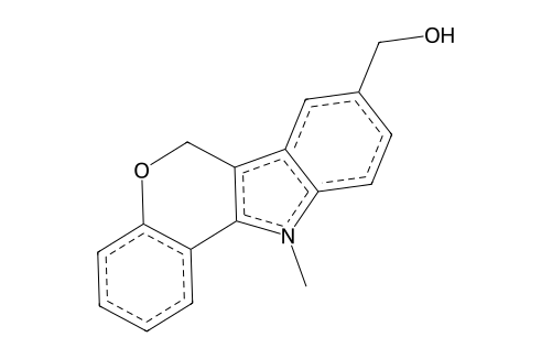 Cn1c2c(c3cc(CO)ccc31)COc1ccccc1-2